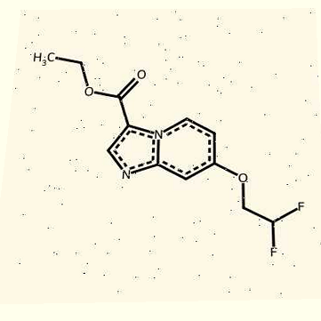 CCOC(=O)c1cnc2cc(OCC(F)F)ccn12